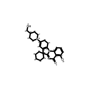 O=c1nc2n(c3cccc(Cl)c13)C1=C(C=C(N3CCC(CO)CC3)CC1)C21CCCCC1